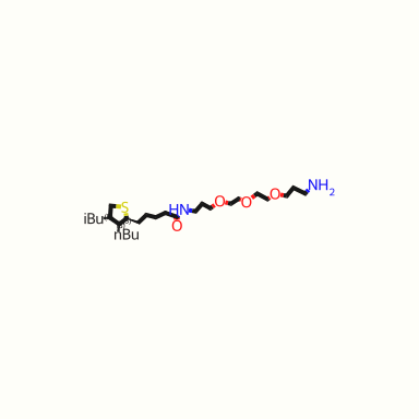 CCCC[C@@H]1[C@H](CCCCC(=O)NCCCOCCOCCOCCCN)SC[C@@H]1C(C)CC